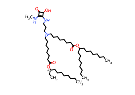 CCCCCCCCC(CCCCCCCC)OC(=O)CCCCCCCN(CCCCCCCC(=O)O[C@H](CC)CCCCCCCC)CCCNC1=C(NC)C(=O)C1O